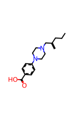 C=C(CCC)CN1CCN(c2ccc(C(=O)O)cc2)CC1